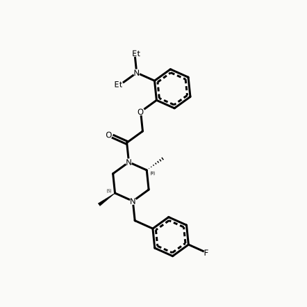 CCN(CC)c1ccccc1OCC(=O)N1C[C@H](C)N(Cc2ccc(F)cc2)C[C@H]1C